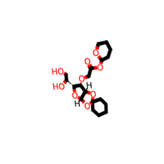 O=C(CO[C@@H]1[C@H]2OC3(CCCCC3)O[C@H]2O[C@@H]1C(O)CO)OC1CCCCO1